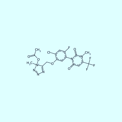 CC(=O)O[N+]1(C)N=NN=C1COc1cc(-n2c(=O)cc(C(F)(F)F)n(C)c2=O)c(F)cc1Cl